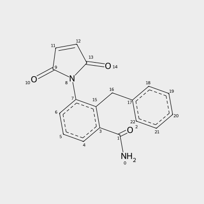 NC(=O)c1cccc(N2C(=O)C=CC2=O)c1Cc1ccccc1